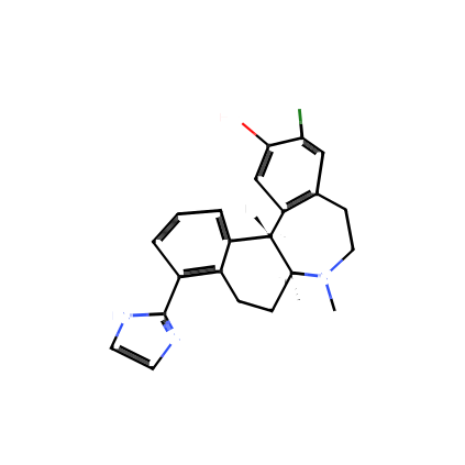 CN1CCc2cc(Cl)c(O)cc2[C@H]2c3cccc(-c4ncc[nH]4)c3CC[C@@H]21